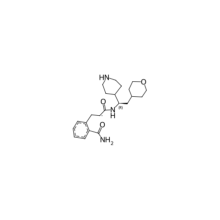 NC(=O)c1ccccc1C[CH]C(=O)N[C@H](CC1CCOCC1)C1CCNCC1